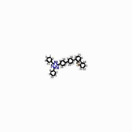 c1ccc(-c2nc(-c3ccccc3)nc(-c3ccc(-c4ccc(-c5cccc6c5sc5ccccc56)cc4)cc3)n2)cc1